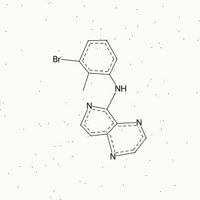 Cc1c(Br)cccc1Nc1nccc2nccnc12